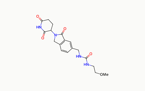 COCCNC(=O)NCc1ccc2c(c1)C(=O)N(C1CCC(=O)NC1=O)C2